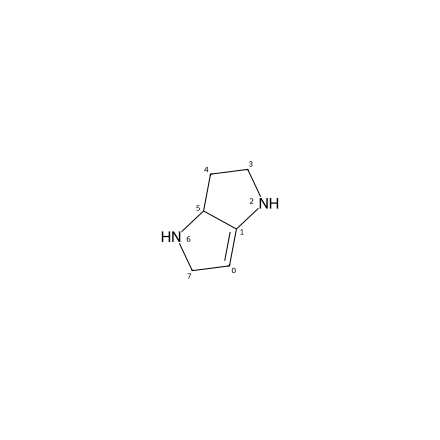 C1=C2NCCC2NC1